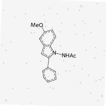 COc1ccc2c(c1)cc(-c1ccccc1)n2NC(C)=O